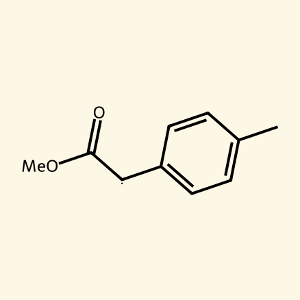 COC(=O)[CH]c1ccc(C)cc1